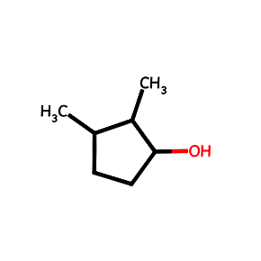 CC1CCC(O)C1C